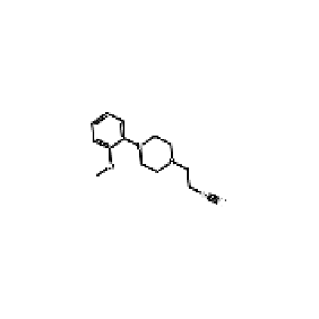 [C-]#[N+]CCN1CCN(c2ccccc2OC)CC1